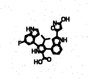 CC(C)c1c(-c2cc(F)cc3[nH]ccc23)[nH]c(C(=O)O)c1-c1cccc2[nH]c(-c3cc(O)no3)cc12